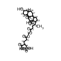 C[C@H](CCC(=O)OCOC(=O)CCC(CP(=O)(O)O)C(=O)O)C1CCC2C3CC[C@@H]4C[C@H](O)CC[C@]4(C)C3C[C@H](O)[C@@]21C